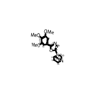 COc1cc(-c2nnc(N3CCN4CCC3CC4)o2)cc(OC)c1OC